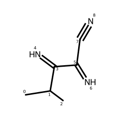 CC(C)C(=N)C(=N)C#N